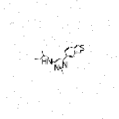 CCC(C)CNc1cc(-c2ccc3cscc3c2)nc(C)n1